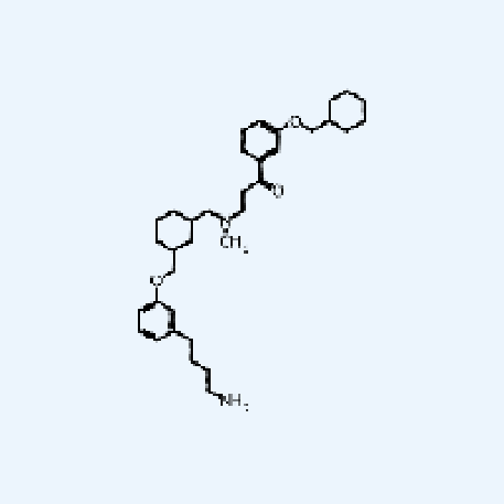 CN(CCC(=O)C1=CC(OCC2CCCCC2)=CCC1)CC1CCCC(COc2cccc(CCCCN)c2)C1